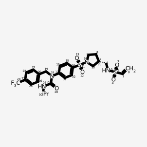 C=CS(=O)(=O)NC[C@H]1CCN(S(=O)(=O)c2ccc(N(Cc3ccc(C(F)(F)F)cc3)C(=O)NC(C)C)cc2)C1